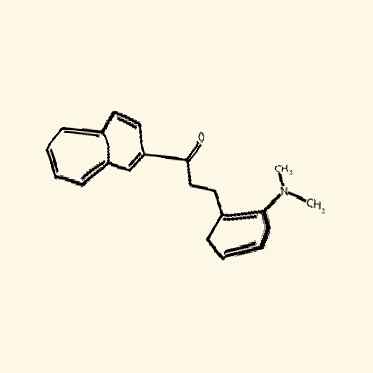 CN(C)C1=C(CCC(=O)c2ccc3ccccc3c2)CC=C1